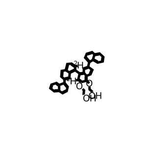 [2H]c1ccc2ccc(-c3cccc4ccccc34)cc2c1-c1c([2H])c(OCCO)c(OCCO)c2ccc(-c3cccc4ccccc34)cc12